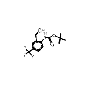 CC(C)(C)OC(=O)Nc1ccc(C(F)(F)F)cc1CO